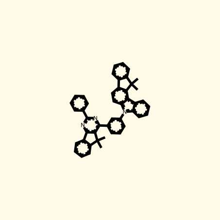 CC1(C)c2ccccc2-c2nc(-c3ccccc3)nc(-c3cccc(-n4c5ccccc5c5c6c(ccc54)-c4ccccc4C6(C)C)c3)c21